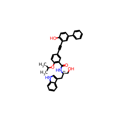 CC(C)Oc1ccc(C#Cc2cc(-c3ccccc3)ccc2O)cc1C(=O)N[C@@H](CO)Cc1c[nH]c2ccccc12